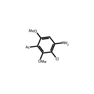 COc1cc(N)c(Cl)c(OC)c1C(C)=O